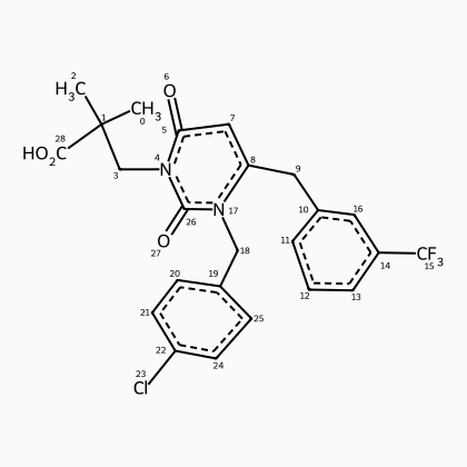 CC(C)(Cn1c(=O)cc(Cc2cccc(C(F)(F)F)c2)n(Cc2ccc(Cl)cc2)c1=O)C(=O)O